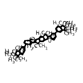 CC1(C)c2cc3c(cc2-c2oc4ccc(-c5ccc6c(c5)C(C)(C)C(C)(C)C6(C)C)cc4c21)C(C)(C)c1c-3oc2ccc(-c3ccc4c(c3)C(C)(C)C(C)(C)C4(C)C)cc12